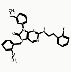 COc1cccc(-n2c(=O)n(Cc3ccccc3OC)c3cnc(NCCc4ccccc4F)nc32)c1